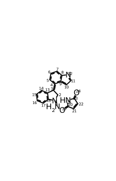 NN1CC(=c2cccc3c2=CC=N3)c2ccccc21.O=C1C=CC(=O)N1